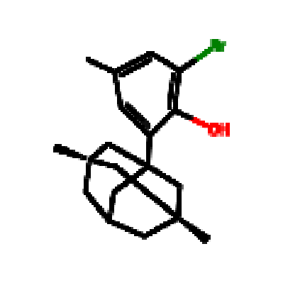 Cc1cc(Br)c(O)c(C23CC4C[C@@](C)(C2)C[C@](C)(C4)C3)c1